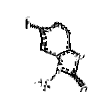 [CH2]n1c(=O)oc2ccc(F)cc21